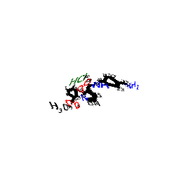 CCOC(=O)c1cccc(Oc2ncccc2C(=O)NCc2ccc(CN)cc2)c1.Cl